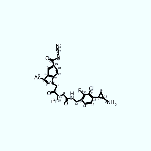 CC(=O)c1cn(CC(=O)N(CC(=O)NCc2ccc(C3CC3N)c(Cl)c2F)C(C)C)c2ccc(C(=O)N=[N+]=[N-])cc12